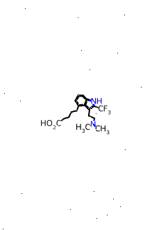 CN(C)CCc1c(C(F)(F)F)[nH]c2cccc(CCCCC(=O)O)c12